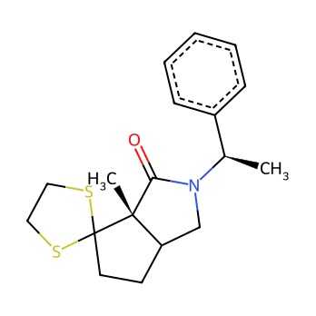 C[C@H](c1ccccc1)N1CC2CCC3(SCCS3)[C@]2(C)C1=O